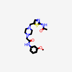 COc1cccc(NC(=O)CN2CCN(Cc3cnc(NC(C)=O)s3)CC2)c1